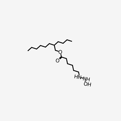 CCCCCCC(CCCC)COC(=O)CCCCCNNO